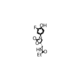 CCC(=O)NC[C@H]1CN(c2ccc(O)c(F)c2)C(=O)O1